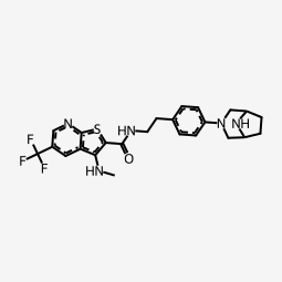 CNc1c(C(=O)NCCc2ccc(N3CC4CCC(C3)N4)cc2)sc2ncc(C(F)(F)F)cc12